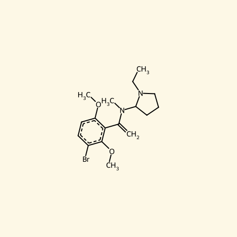 C=C(c1c(OC)ccc(Br)c1OC)N(C)C1CCCN1CC